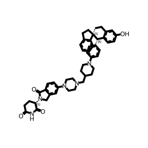 O=C1CC[C@H](N2Cc3cc(N4CCN(CC5CCN(c6ccc([C@H]7c8ccc(O)cc8CC[C@]78CCc7ccccc78)cc6)CC5)CC4)ccc3C2=O)C(=O)N1